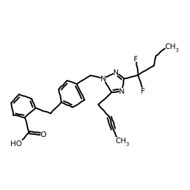 CC#CCc1nc(C(F)(F)CCC)nn1Cc1ccc(Cc2ccccc2C(=O)O)cc1